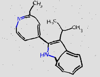 Cc1cc(-c2[nH]c3ccccc3c2C(C)C)ccn1